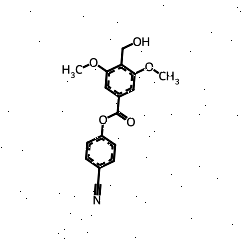 COc1cc(C(=O)Oc2ccc(C#N)cc2)cc(OC)c1CO